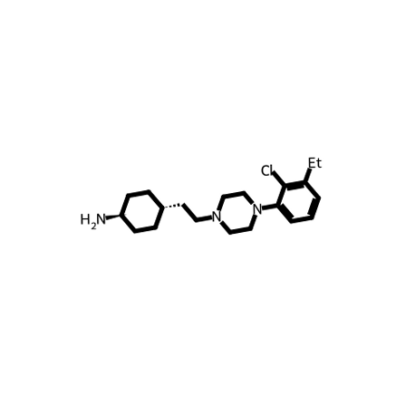 CCc1cccc(N2CCN(CC[C@H]3CC[C@H](N)CC3)CC2)c1Cl